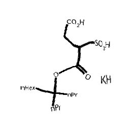 CCCCCCC(CCC)(CCC)OC(=O)C(CC(=O)O)S(=O)(=O)O.[KH]